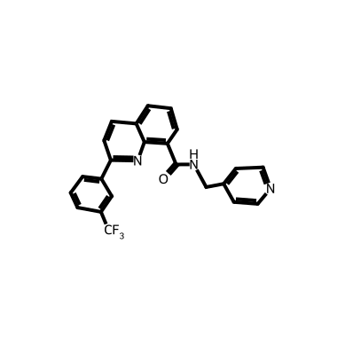 O=C(NCc1ccncc1)c1cccc2ccc(-c3cccc(C(F)(F)F)c3)nc12